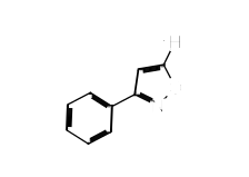 [2H]c1cc(-c2ccccc2)no1